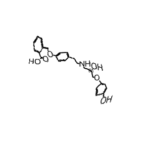 O=C(O)c1ccccc1COc1ccc(CCNC[C@H](O)COc2ccc(O)cc2)cc1